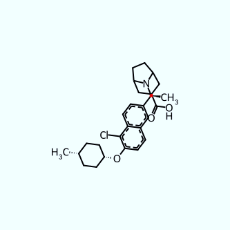 C[C@@H](c1ccc2c(Cl)c(O[C@H]3CC[C@@H](C)CC3)ccc2c1)N1C2CCC1CC(C(=O)O)C2